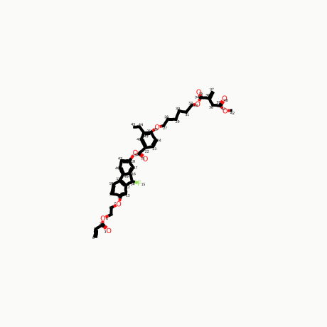 C=CC(=O)OCCOc1ccc2c(c1)C(F)c1cc(OC(=O)c3ccc(OCCCCCCOC(=O)C(=C)CC(=O)OC)c(CC)c3)ccc1-2